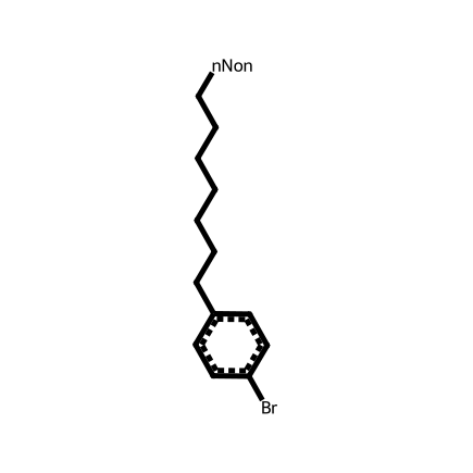 CCCCCCCCCCCCCCCCc1ccc(Br)cc1